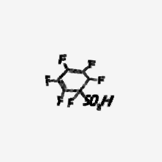 O=S(=O)(O)C1(F)C(F)=C(F)C(F)=C(F)C1F